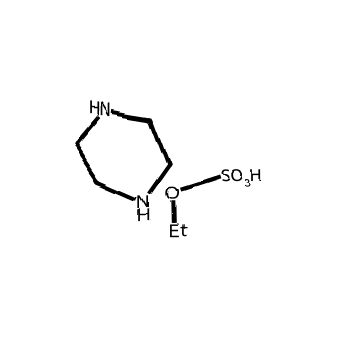 C1CNCCN1.CCOS(=O)(=O)O